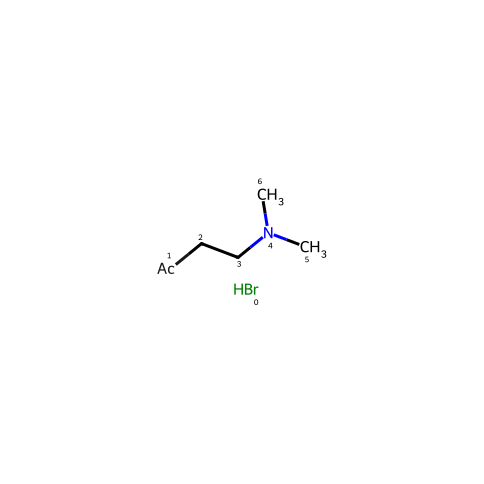 Br.CC(=O)CCN(C)C